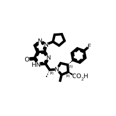 CC1[C@H](C(=O)O)[C@@H](c2ccc(F)cc2)CN1[C@H](C)c1nc2c(cnn2C2CCCC2)c(=O)[nH]1